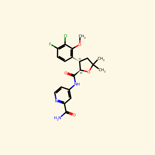 COc1c([C@@H]2CC(C)(C)O[C@H]2C(=O)Nc2ccnc(C(N)=O)c2)ccc(F)c1Cl